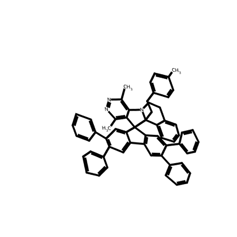 Cc1ccc(CCC23c4ccccc4CCN2c2c(C)nnc(C)c2C32c3cc(-c4ccccc4)c(-c4ccccc4)cc3-c3cc(-c4ccccc4)c(-c4ccccc4)cc32)cc1